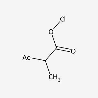 CC(=O)C(C)C(=O)OCl